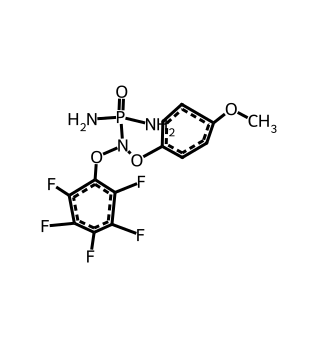 COc1ccc(ON(Oc2c(F)c(F)c(F)c(F)c2F)P(N)(N)=O)cc1